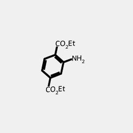 CCOC(=O)c1ccc(C(=O)OCC)c(N)c1